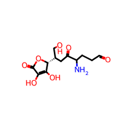 NC(CCC=O)C(=O)CC(CO)[C@H]1OC(=O)C(O)=C1O